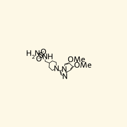 COc1cc2ncc(N3CCC(CNS(N)(=O)=O)CC3)n2cc1OC